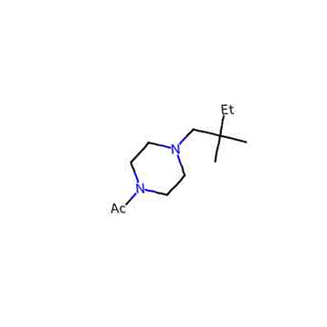 CCC(C)(C)CN1CCN(C(C)=O)CC1